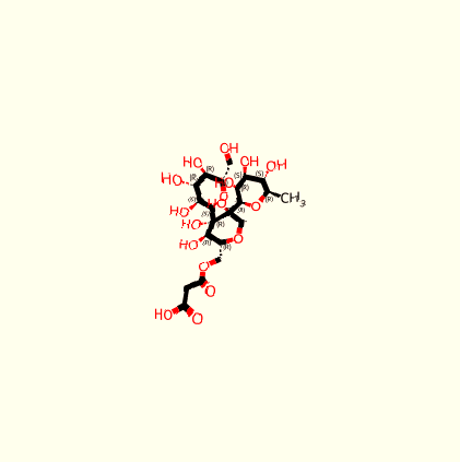 C[C@H]1O[C@@H]([C@]2(O)[CH]O[C@H](COC(=O)CC(=O)O)[C@@H](O)[C@@]2(O)[C@H]2O[C@@H](CO)[C@H](O)[C@@H](O)[C@@H]2O)[C@H](O)[C@@H](O)[C@@H]1O